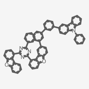 c1ccc(-c2nc(-c3cccc4oc5ccccc5c34)nc(-c3cccc4oc5ccc(-c6cccc(-c7cccc(-c8ccc9c(c8)c8ccccc8n9-c8ccccc8)c7)c6)cc5c34)n2)cc1